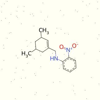 CC1C=C(CNc2ccccc2[N+](=O)[O-])CC(C)C1